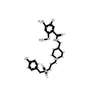 COc1cc(N)c(Cl)cc1C(=O)NCC1CCN(CCCS(=O)(=O)Cc2ccc(Cl)cc2)CC1